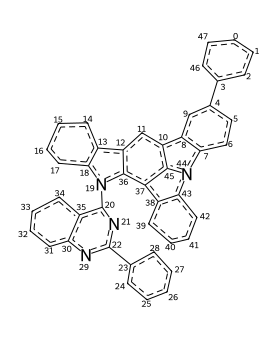 c1ccc(-c2ccc3c(c2)c2cc4c5ccccc5n(-c5nc(-c6ccccc6)nc6ccccc56)c4c4c5ccccc5n3c24)cc1